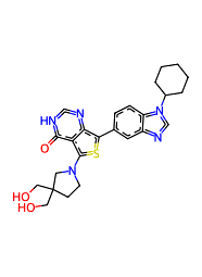 O=c1[nH]cnc2c(-c3ccc4c(c3)ncn4C3CCCCC3)sc(N3CCC(CO)(CO)C3)c12